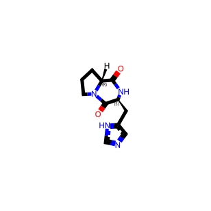 O=C1N[C@@H](Cc2cnc[nH]2)C(=O)N2CCC[C@H]12